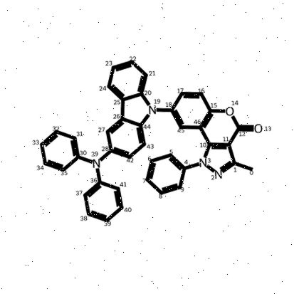 Cc1nn(-c2ccccc2)c2c1c(=O)oc1ccc(-n3c4ccccc4c4cc(N(c5ccccc5)c5ccccc5)ccc43)cc12